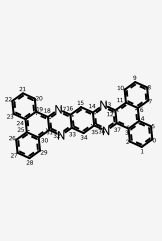 c1ccc2c(c1)c1ccccc1c1nc3cc4nc5c6ccccc6c6ccccc6c5nc4cc3nc21